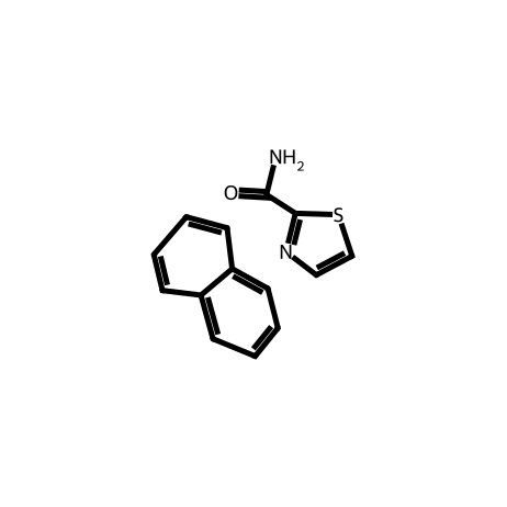 NC(=O)c1nccs1.c1ccc2ccccc2c1